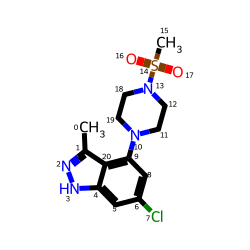 Cc1n[nH]c2cc(Cl)cc(N3CCN(S(C)(=O)=O)CC3)c12